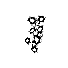 c1ccc(-n2c3ccccc3c3cc4oc5ccc6c(c5c4cc32)-c2ccccc2B2c3ccccc3-c3ccccc3N26)cc1